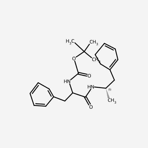 C[C@@H](CC1=CC=CCC1)NC(=O)C(Cc1ccccc1)NC(=O)OC(C)(C)C